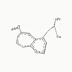 CCCC(C#N)Cc1cccc2ccc(OC)cc12